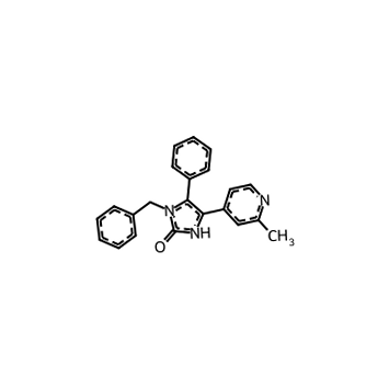 Cc1cc(-c2[nH]c(=O)n(Cc3ccccc3)c2-c2ccccc2)ccn1